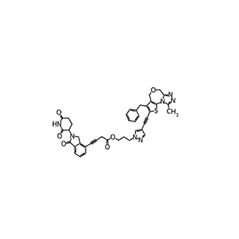 Cc1nnc2n1-c1sc(C#Cc3cnn(CCCOC(=O)CC#Cc4cccc5c4CN(C4CCC(=O)NC4=O)C5=O)c3)c(Cc3ccccc3)c1COC2